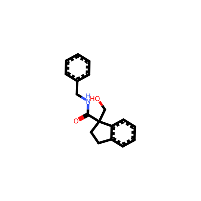 O=C(NCc1ccccc1)C1(CO)CCc2ccccc21